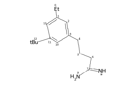 CCc1cc(CCCC(=N)N)cc(C(C)(C)C)c1